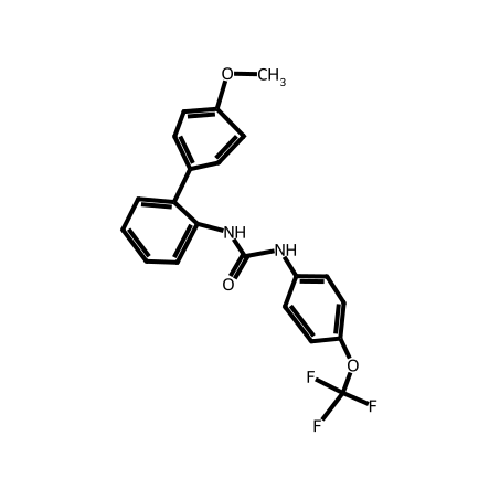 COc1ccc(-c2ccccc2NC(=O)Nc2ccc(OC(F)(F)F)cc2)cc1